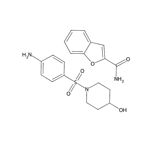 NC(=O)c1cc2ccccc2o1.Nc1ccc(S(=O)(=O)N2CCC(O)CC2)cc1